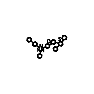 c1ccc(-c2ccc(-c3nc(-c4ccccc4)nc(-c4ccc5c(c4)oc4ccc(-c6c(-c7ccccc7)ccc7c6sc6ccccc67)cc45)n3)cc2)cc1